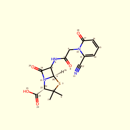 CC1(C)S[C@@H]2C(NC(=O)Cn3c(C#N)cccc3=O)C(=O)N2[C@H]1C(=O)O